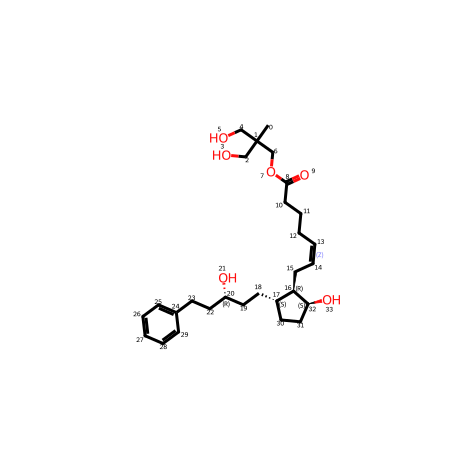 CC(CO)(CO)COC(=O)CCC/C=C\C[C@@H]1[C@@H](CC[C@@H](O)CCc2ccccc2)CC[C@@H]1O